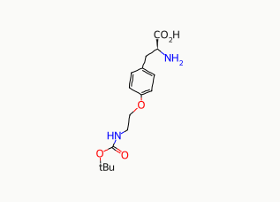 CC(C)(C)OC(=O)NCCOc1ccc(C[C@H](N)C(=O)O)cc1